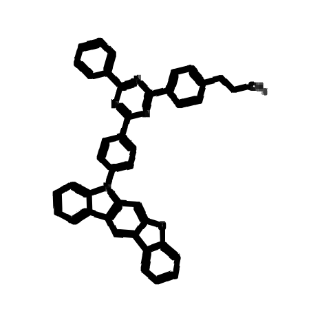 CCCc1ccc(-c2nc(-c3ccccc3)nc(-c3ccc(-n4c5ccccc5c5cc6c(cc54)oc4ccccc46)cc3)n2)cc1